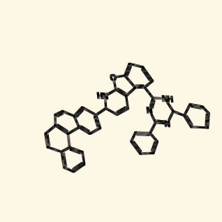 C1=CC(c2ccc3c(ccc4ccc5ccccc5c43)c2)Nc2oc3cccc(C4=NC(c5ccccc5)=NC(c5ccccc5)N4)c3c21